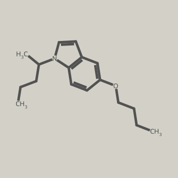 CCCCOc1ccc2c(ccn2C(C)CCC)c1